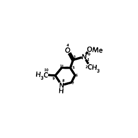 CON(C)C(=O)C1CCNC(C)C1